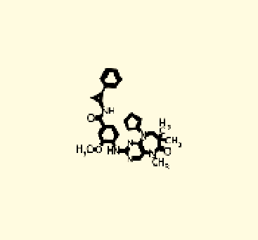 COc1cc(C(=O)NC2C[C@H]2c2ccccc2)ccc1Nc1ncc2c(n1)N(C1CCCC1)CC(C)(C)C(=O)N2C